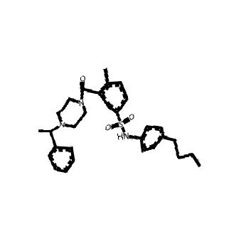 CCCCc1ccc(NS(=O)(=O)c2ccc(C)c(C(=O)N3CCN(C(C)c4ccccc4)CC3)c2)cc1